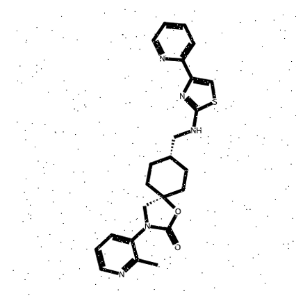 Cc1ncccc1N1C[C@]2(CC[C@@H](CNc3nc(-c4ccccn4)cs3)CC2)OC1=O